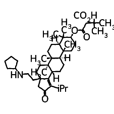 CC(C)C1=C2[C@H]3CC[C@@H]4[C@@]5(C)CC[C@H](OC(=O)CC(C)(C)C(=O)O)C(C)(C)[C@@H]5CC[C@@]4(C)[C@]3(C)CC[C@@]2(CCNC2CCCC2)CC1=O